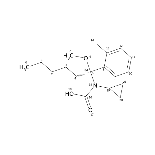 CCCCC[C@](OC)(c1ccccc1I)N(C(=O)O)C1CC1